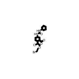 O=C(Nc1ccccc1)Nc1ccc2c(Cl)c(OCCBr)oc(=O)c2c1